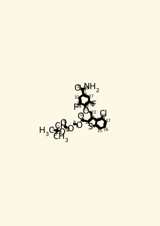 CC(C)(C)OC(=O)OCOC(=O)c1sc2cccc(Cl)c2c1COc1c(F)cc(C(N)=O)cc1F